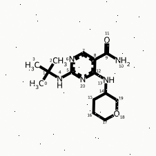 CC(C)(C)Nc1ncc(C(N)=O)c(NC2CCCOC2)n1